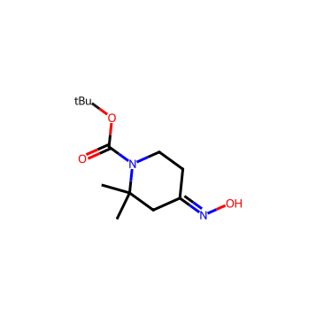 CC(C)(C)OC(=O)N1CC/C(=N\O)CC1(C)C